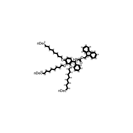 CCCCCCCCCCCCCCCCCCOc1ccc(C(NC(=O)OCC2c3ccccc3-c3ccccc32)c2ccccc2)c(OCCCCCCCCCCCCCCCCCC)c1OCCCCCCCCCCCCCCCCCC